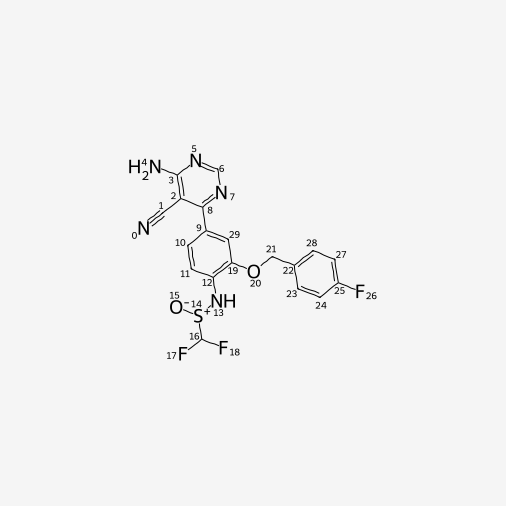 N#Cc1c(N)ncnc1-c1ccc(N[S+]([O-])C(F)F)c(OCc2ccc(F)cc2)c1